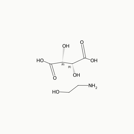 NCCO.O=C(O)[C@H](O)[C@@H](O)C(=O)O